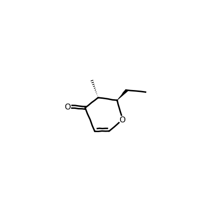 CC[C@H]1OC=CC(=O)[C@@H]1C